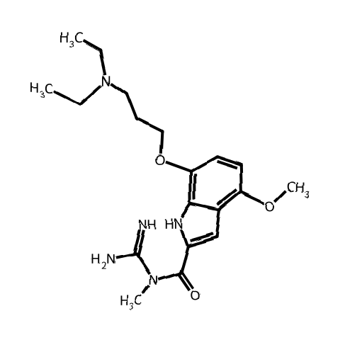 CCN(CC)CCCOc1ccc(OC)c2cc(C(=O)N(C)C(=N)N)[nH]c12